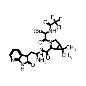 CC(C)(C)C(NC(=O)C(F)(F)Cl)C(=O)N1CC2C(C1C(=O)NC(N)CC1C(=O)Nc3ncccc31)C2(C)C